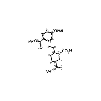 COC(=O)c1cnc(OC)cc1CCC1CCC(C(=O)OC)CN1C(=O)O